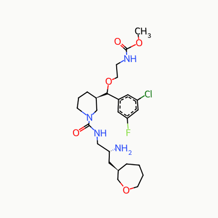 COC(=O)NCCOC(c1cc(F)cc(Cl)c1)[C@@H]1CCCN(C(=O)NC[C@H](N)C[C@H]2CCCCOC2)C1